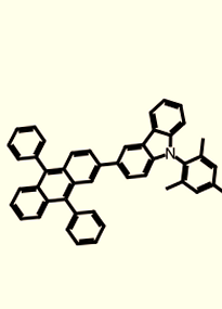 Cc1cc(C)c(-n2c3ccccc3c3cc(-c4ccc5c(-c6ccccc6)c6ccccc6c(-c6ccccc6)c5c4)ccc32)c(C)c1